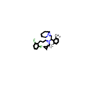 Cc1cccc(C)c1C(CN1CCCCC1)N(CCCc1c(F)cccc1F)CC1CC1